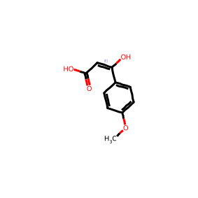 COc1ccc(/C(O)=C\C(=O)O)cc1